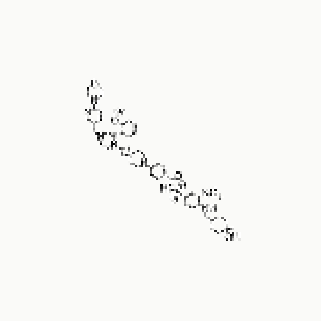 CC(C)Oc1ccccc1[C@H]1CN(Cc2ccc(N3CCOCC3)nc2)CCN1C1CC2(CCN(c3ccc(C(=O)NS(=O)(=O)c4ccc(NCC5CCC(C)(O)CC5)c([N+](=O)[O-])c4)cc3)CC2)C1